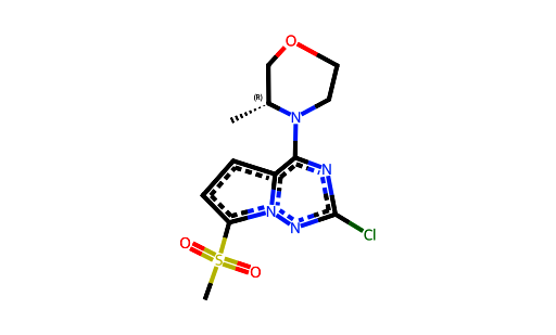 C[C@@H]1COCCN1c1nc(Cl)nn2c(S(C)(=O)=O)ccc12